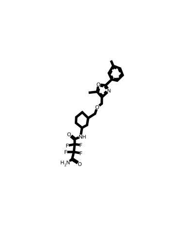 Cc1cccc(-c2nc(COCC3CCCC(NC(=O)C(F)(F)C(F)(F)C(N)=O)C3)c(C)o2)c1